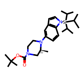 CC(C)[Si](C(C)C)(C(C)C)n1ccc2cc(N3CCN(C(=O)OC(C)(C)C)C[C@@H]3C)ccc21